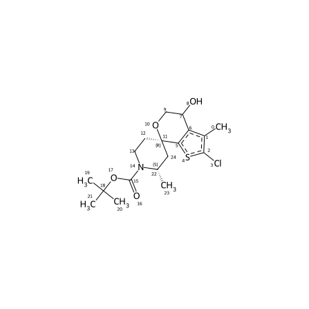 Cc1c(Cl)sc2c1C(O)CO[C@@]21CCN(C(=O)OC(C)(C)C)[C@@H](C)C1